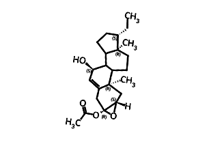 CC[C@H]1CCC2C3C(CC[C@@]21C)[C@@]1(C)C[C@@H]2O[C@@]2(OC(C)=O)CC1=C[C@H]3O